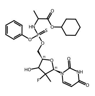 CC(NP(=S)(OC[C@H]1O[C@@H](n2ccc(=O)[nH]c2=O)C(C)(F)C1O)Oc1ccccc1)C(=O)OC1CCCCC1